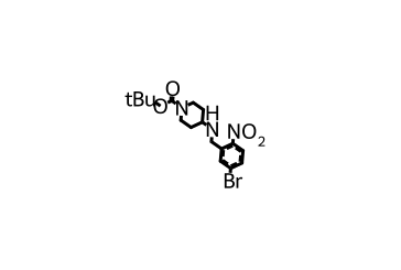 CC(C)(C)OC(=O)N1CCC(NCc2cc(Br)ccc2[N+](=O)[O-])CC1